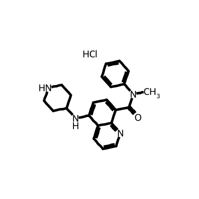 CN(C(=O)c1ccc(NC2CCNCC2)c2cccnc12)c1ccccc1.Cl